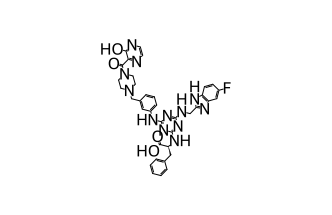 O=C(O)[C@H](Cc1ccccc1)Nc1nc(NCc2nc3cc(F)ccc3[nH]2)nc(Nc2cccc(CN3CCN(C(=O)c4nccnc4O)CC3)c2)n1